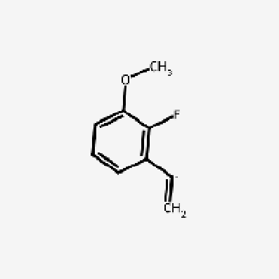 C=[C]c1cccc(OC)c1F